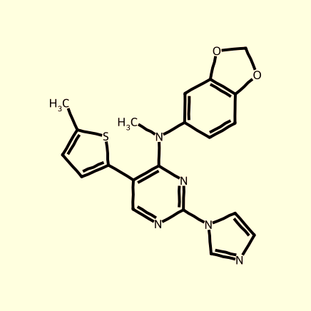 Cc1ccc(-c2cnc(-n3ccnc3)nc2N(C)c2ccc3c(c2)OCO3)s1